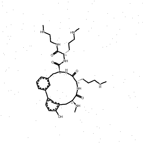 CNCCC[C@H](NC(=O)[C@@H]1Cc2cccc(c2)-c2ccc(O)c(c2)C[C@H](NC)C(=O)N[C@@H](CCCNC)C(=O)N1)C(=O)NCCNC